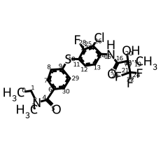 CCN(C)C(=O)c1ccc(Sc2ccc(NC(=O)[C@@](C)(O)C(F)(F)F)c(Cl)c2F)cc1